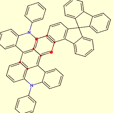 c1ccc(N(c2ccccc2)c2ccccc2-c2ccc(-c3ccccc3N(c3ccccc3)c3ccccc3)c3c2Oc2ccc4c(c2O3)-c2ccccc2C42c3ccccc3-c3ccccc32)cc1